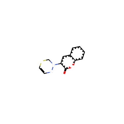 O=c1oc2ccccc2cc1N1CSC=CN1